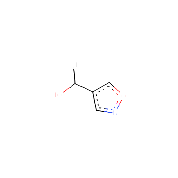 CC(O)c1cnoc1